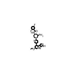 CCOc1cc(-c2ccc(N3CC[C@H](NC(=O)c4cc(F)ccc4F)CC(P)C3)nc2)c2c3cn[nH]c3nn2c1